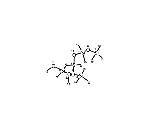 CO[Si](C)(C[Si](C)(O[Si](C)(C)C)O[Si](C)(C)O[Si](C)(C)C)OC